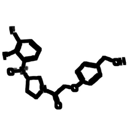 O=C(COc1ccc(CO)cc1)N1CCC([S+]([O-])c2cccc(F)c2F)C1